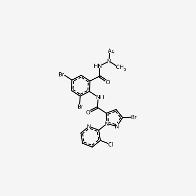 CC(=O)N(C)NC(=O)c1cc(Br)cc(Br)c1NC(=O)c1cc(Br)nn1-c1ncccc1Cl